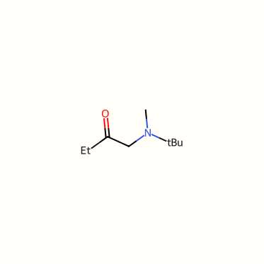 CCC(=O)CN(C)C(C)(C)C